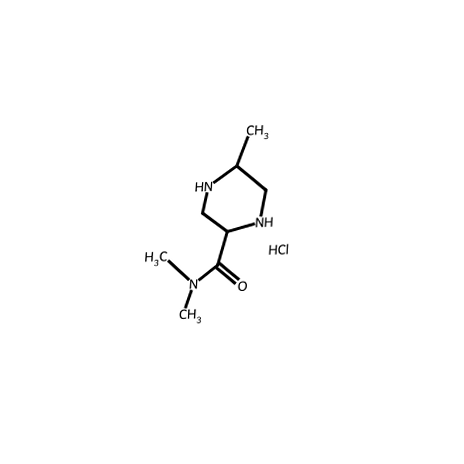 CC1CNC(C(=O)N(C)C)CN1.Cl